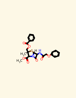 COC(=O)C1N2C(=O)C(NC(=O)COc3ccccc3)[C@@H]2S[C@@]1(C)COC(=O)c1ccccc1